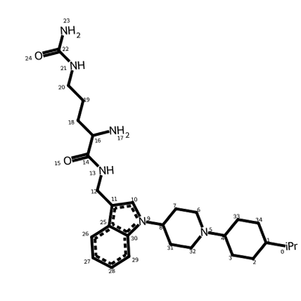 CC(C)C1CCC(N2CCC(n3cc(CNC(=O)C(N)CCCNC(N)=O)c4ccccc43)CC2)CC1